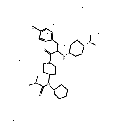 CN(C)C(=O)N(C1CCCCC1)C1CCN(C(=O)[C@@H](Cc2ccc(Cl)cc2)N[C@H]2CC[C@@H](N(C)C)CC2)CC1